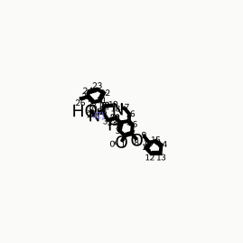 COc1cc2c(cc1OCc1ccccc1)CCN1C[C@@H](c3cccc(C)c3)/C(=N\O)C[C@H]21